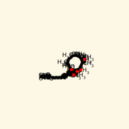 CO[C@H]1/C=C/O[C@@]2(C)Oc3c(C)c(O)c4c(=O)c(c5oc6cc(N7CCN(CCCCCCO[C@@H]8COc9nc([N+](=O)[O-])cn9C8)CC7)cc(C)c6nc-5c4c3C2=O)NC(=O)/C(C)=C\C=C\[C@H](C)[C@H](O)[C@@H](C)[C@@H](O)[C@@H](C)[C@H](OC(C)=O)[C@@H]1C